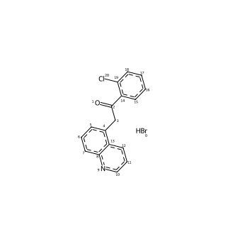 Br.O=C(Cc1cccc2ncccc12)c1ccccc1Cl